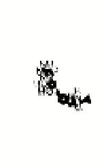 Nc1ncnc2c1ccn2[C@@H]1C[C@H](CCc2ccc3cc(Cl)c(NCC4CC4)nc3c2)[C@@H](O)[C@H]1O